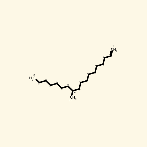 C=CCCCCCCCCC(C)CCCCCCC